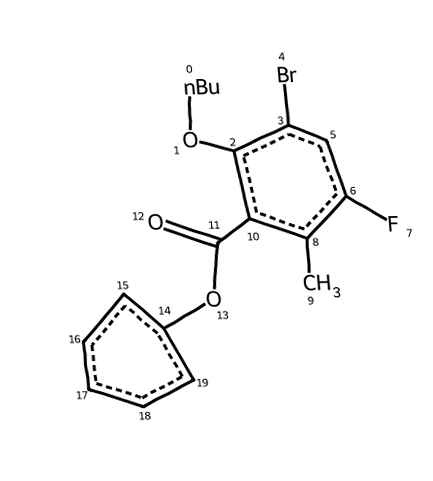 CCCCOc1c(Br)cc(F)c(C)c1C(=O)Oc1ccccc1